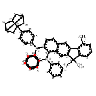 Cc1cccc2c1-c1cc3ccc(N(c4ccccc4)c4ccc(C56CC7CC5CC7C6)cc4)c(N(c4ccccc4)c4ccccc4)c3cc1C2(C)C